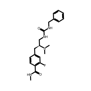 CNC(=O)c1ccc(C[C@@H](CNC(=O)NCc2ccccc2)N(C)C)cc1F